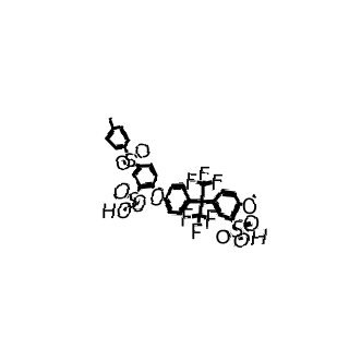 COc1ccc(C(c2ccc(Oc3ccc(S(=O)(=O)c4ccc(C)cc4)cc3S(=O)(=O)O)cc2)(C(F)(F)F)C(F)(F)F)cc1S(=O)(=O)O